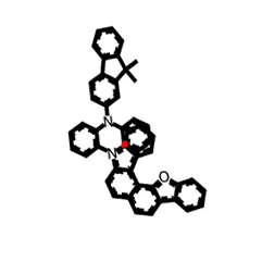 CC1(C)c2ccccc2-c2ccc(N(c3ccccc3)c3ccccc3-n3c4ccccc4c4c5c(ccc6c7ccccc7oc65)ccc43)cc21